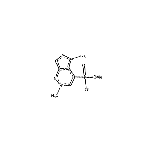 COP(=O)([O-])c1c[n+](C)nc2cnn(C)c12